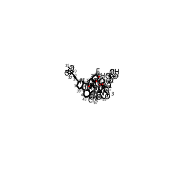 C[C@H]1CC(F)(F)c2c1c(C(F)(F)F)nn2CC(=O)N[C@@H](Cc1cc(F)cc(F)c1)c1nc(C#CC(C)(C)S(C)(=O)=O)ccc1-c1ccc(Cl)c2c(N(C(=O)N3CCOC[C@H]3C(=O)OCOP(=O)(O)O)S(C)(=O)=O)nn(CC(F)(F)F)c12